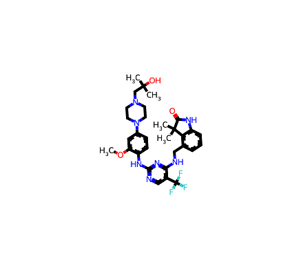 COc1cc(N2CCN(CC(C)(C)O)CC2)ccc1Nc1ncc(C(F)(F)F)c(NCc2cccc3c2C(C)(C)C(=O)N3)n1